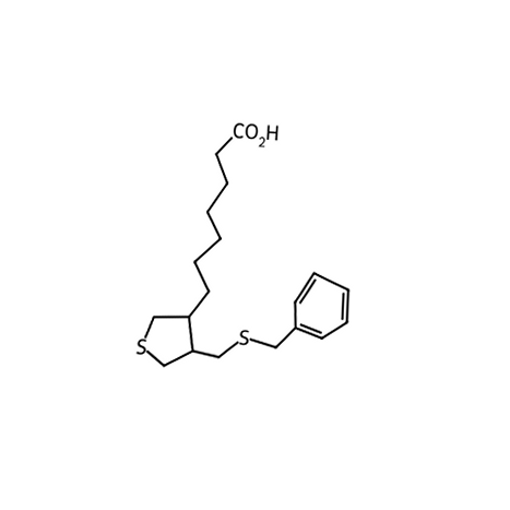 O=C(O)CCCCCCC1CSCC1CSCc1ccccc1